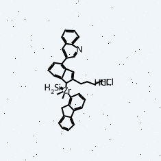 CCCCC1=Cc2c(-c3cnc4ccccc4c3)cccc2[CH]1[Zr]([CH3])([CH3])(=[SiH2])[c]1cccc2c1Cc1ccccc1-2.Cl.Cl